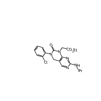 CCOC(=O)CN1C(=O)N(c2ccccc2Cl)Cc2cnc(NC(C)C)nc21